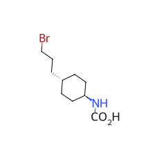 O=C(O)N[C@H]1CC[C@H](CCCBr)CC1